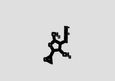 CC1OC(C2CO2)C(C)C1N=[N+]=[N-]